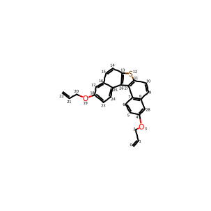 C=CCOc1ccc2c(ccc3sc4ccc5cc(OCC=C)ccc5c4c32)c1